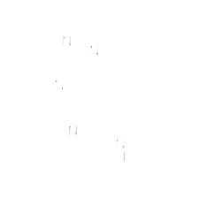 c1cc2c(ncn3cnnc23)[nH]1